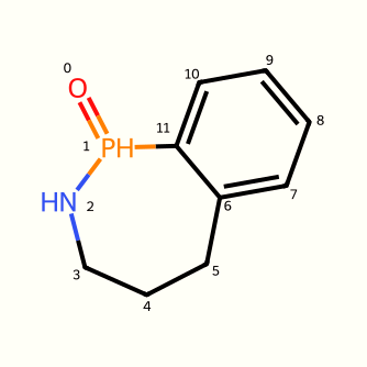 O=[PH]1NCCCc2ccccc21